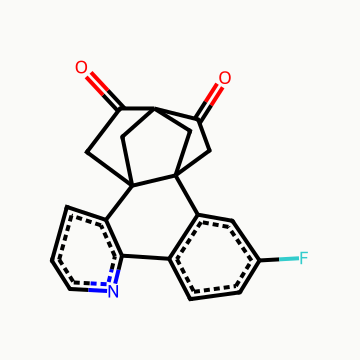 O=C1CC23CC14CC2(CC4=O)c1cccnc1-c1ccc(F)cc13